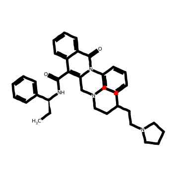 CC[C@H](NC(=O)c1c(CN2CCC(CCN3CCCC3)CC2)n(-c2ccccc2)c(=O)c2ccccc12)c1ccccc1